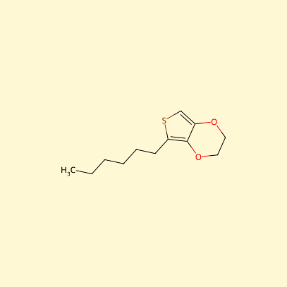 CCCCCCc1scc2c1OCCO2